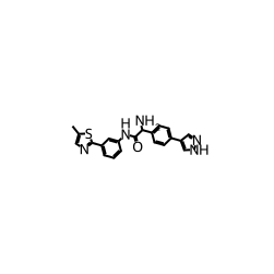 Cc1cnc(-c2cccc(NC(=O)C(N)c3ccc(-c4cn[nH]c4)cc3)c2)s1